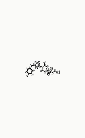 Cc1ccc(Cc2nsc(N3CCN(S(=O)(=O)CCCl)CC3C)n2)cc1